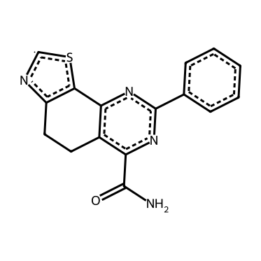 NC(=O)c1nc(-c2ccccc2)nc2c1CCc1n[c]sc1-2